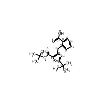 CC(C)(C)OC(=O)c1sc(C(C)(C)C)nc1Cc1ccccc1C(=O)O